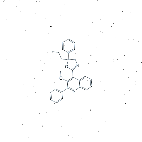 CCCC1(c2ccccc2)CN=C(c2c(OC)c(-c3ccccc3)nc3ccccc23)O1